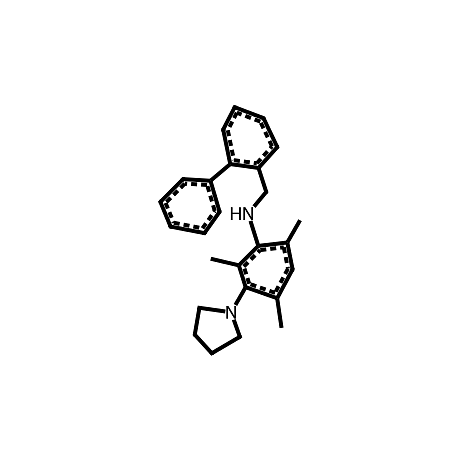 Cc1cc(C)c(N2CCCC2)c(C)c1NCc1ccccc1-c1ccccc1